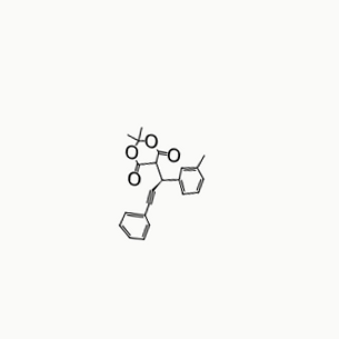 Cc1cccc([C@@H](C#Cc2ccccc2)C2C(=O)OC(C)(C)OC2=O)c1